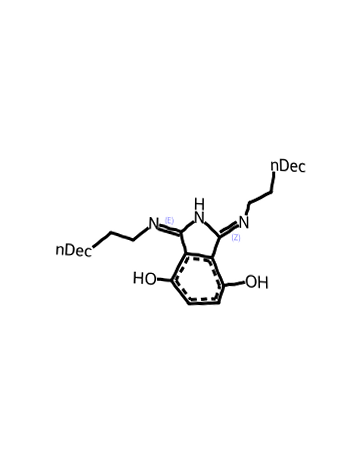 CCCCCCCCCCCC/N=C1\N/C(=N/CCCCCCCCCCCC)c2c(O)ccc(O)c21